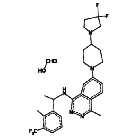 Cc1c(C(C)Nc2nnc(C)c3ccc(N4CCC(N5CCC(F)(F)C5)CC4)cc23)cccc1C(F)(F)F.O=CO